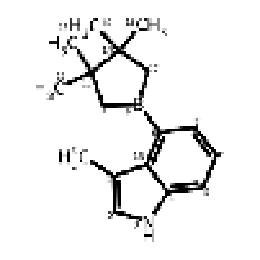 Cc1c[nH]c2cccc(B3CC(C)(C)C(C)(C)C3)c12